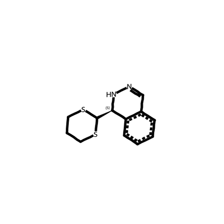 C1=NN[C@H](C2SCCCS2)c2ccccc21